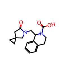 O=C1CC2(CC2)CN1CC1c2ccccc2CCN1C(=O)O